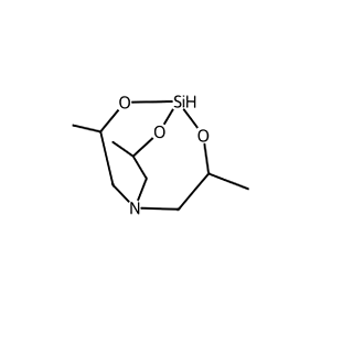 CC1CN2CC(C)O[SiH](O1)OC(C)C2